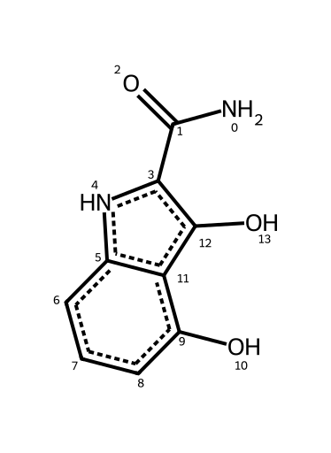 NC(=O)c1[nH]c2cccc(O)c2c1O